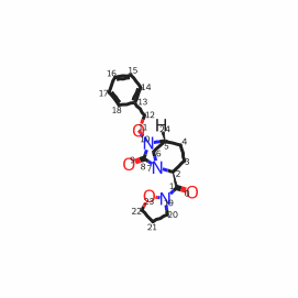 O=C([C@@H]1CC[C@@H]2CN1C(=O)N2OCc1ccccc1)N1CCCO1